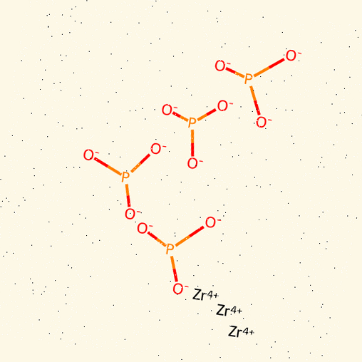 [O-]P([O-])[O-].[O-]P([O-])[O-].[O-]P([O-])[O-].[O-]P([O-])[O-].[Zr+4].[Zr+4].[Zr+4]